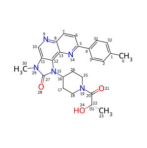 Cc1ccc(-c2ccc3ncc4c(c3n2)n(C2CCN(C(=O)[C@H](C)O)CC2)c(=O)n4C)cc1